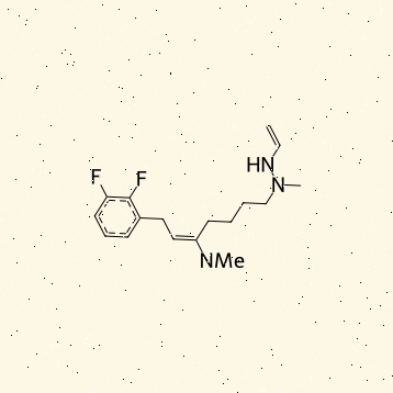 C=CNN(C)CCCC/C(=C\Cc1cccc(F)c1F)NC